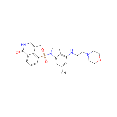 Cc1c[nH]c(=O)c2cccc(S(=O)(=O)N3CCc4c(NCCN5CCOCC5)cc(C#N)cc43)c12